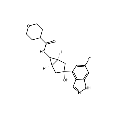 O=C(NC1[C@H]2CC(O)(c3cc(Cl)cc4[nH]ncc34)C[C@@H]12)C1CCOCC1